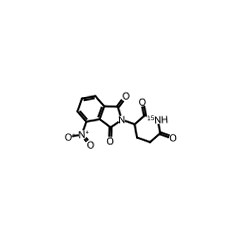 O=C1CCC(N2C(=O)c3cccc([N+](=O)[O-])c3C2=O)C(=O)[15NH]1